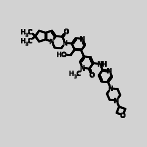 Cn1cc(-c2cncc(N3CCn4c(cc5c4CC(C)(C)C5)C3=O)c2CO)cc(Nc2ccc(N3CCN(C4COC4)CC3)cn2)c1=O